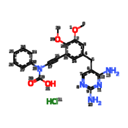 COc1cc(Cc2cnc(N)nc2N)cc(C#CN(C(=O)O)c2ccccc2)c1OC.Cl